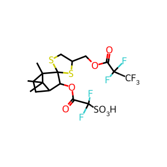 CC1(C)C2CCC1(C)C1(SCC(COC(=O)C(F)(F)C(F)(F)F)S1)C2OC(=O)C(F)(F)S(=O)(=O)O